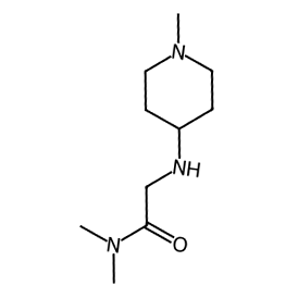 CN1CCC(NCC(=O)N(C)C)CC1